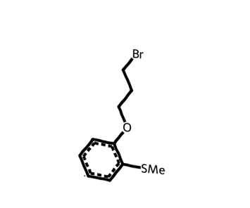 CSc1c[c]ccc1OCCCBr